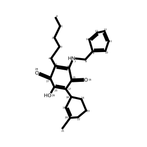 CCCCCC1=C(NCc2ccccc2)C(=O)C(C2C=C(C)CCC2)=C(O)C1=O